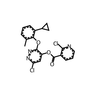 Cc1cccc(C2CC2)c1Oc1nnc(Cl)cc1OC(=O)c1cccnc1Cl